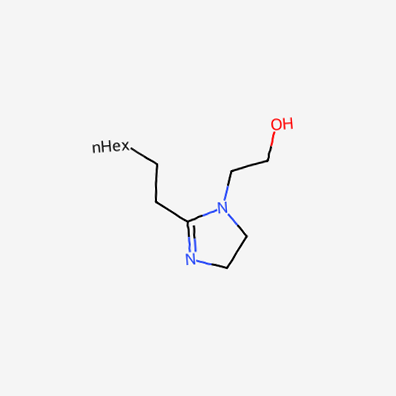 CCCCCCCCC1=NCCN1CCO